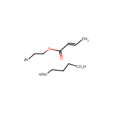 CC=CC(=O)OCCC(C)C.CCCCCCCCCCCCCC(=O)O